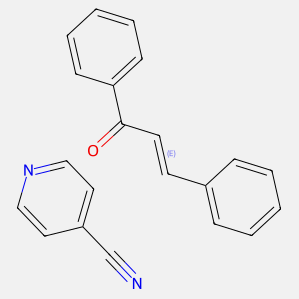 N#Cc1ccncc1.O=C(/C=C/c1ccccc1)c1ccccc1